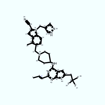 C/C=C/c1nc(NC2CCN(Cc3ccc4c(cc(C#N)n4Cc4cn[nH]c4)c3C)CC2)c2cc(CC(F)(F)F)sc2n1